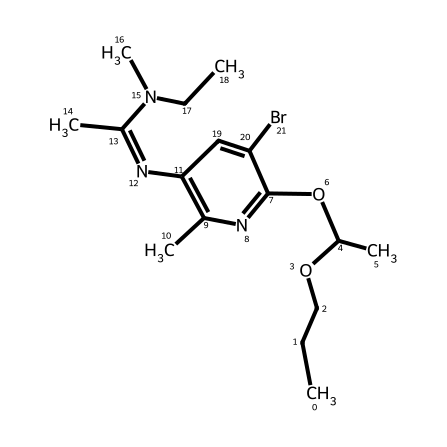 CCCOC(C)Oc1nc(C)c(N=C(C)N(C)CC)cc1Br